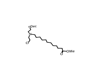 CCCCCCCCCCCCN(CCCl)CCCCCCCCCCCC(=O)OC